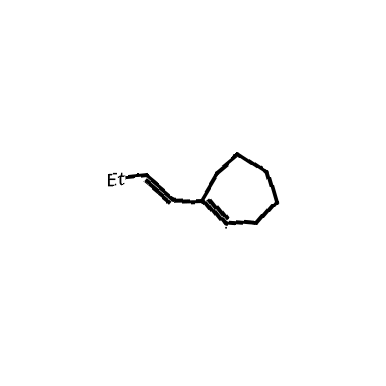 CC/C=C/C1=[C]CCCCC1